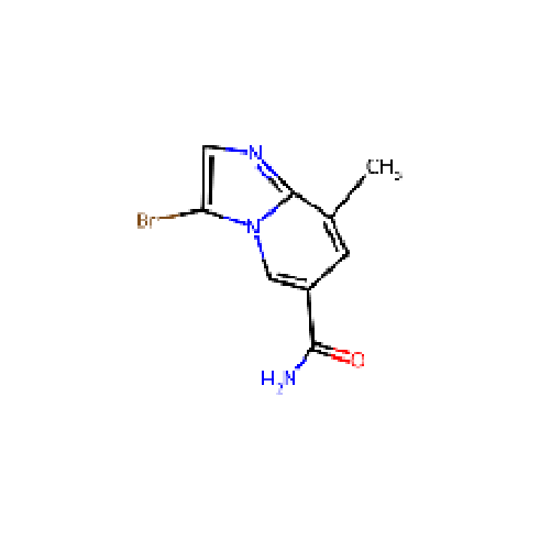 Cc1cc(C(N)=O)cn2c(Br)cnc12